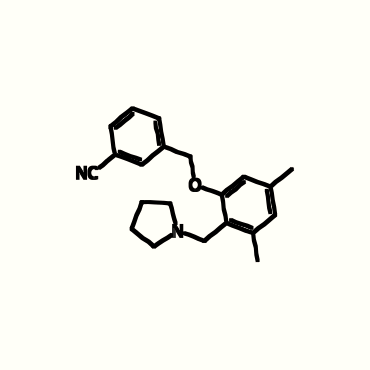 Cc1cc(C)c(CN2CCCC2)c(OCc2cccc(C#N)c2)c1